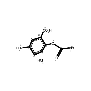 CCCC(=O)Oc1ccc(N)cc1C(=O)O.Cl